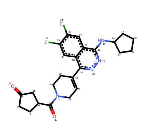 O=C1CCC(C(=O)N2CC=C(c3nnc(NC4CCCC4)c4cc(Cl)c(Cl)cc34)CC2)C1